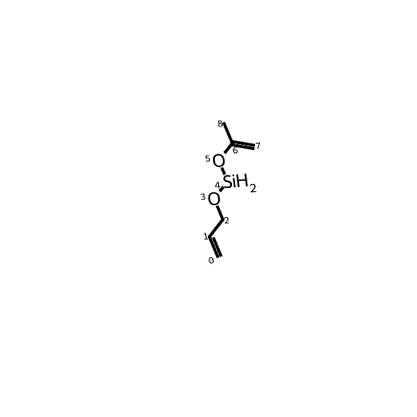 C=CCO[SiH2]OC(=C)C